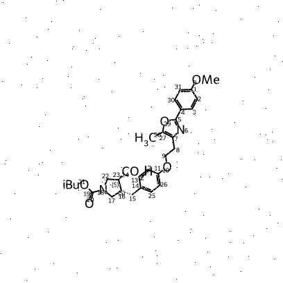 COc1ccc(-c2nc(CCOc3ccc(C[C@@H]4CN(C(=O)OCC(C)C)C[C@H]4C(=O)O)cc3)c(C)o2)cc1